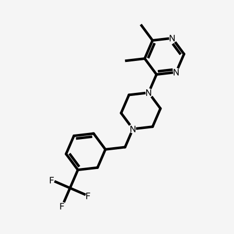 Cc1ncnc(N2CCN(CC3C=CC=C(C(F)(F)F)C3)CC2)c1C